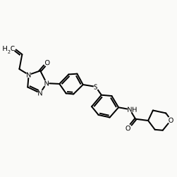 C=CCn1cnn(-c2ccc(Sc3cccc(NC(=O)C4CCOCC4)c3)cc2)c1=O